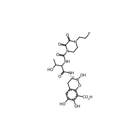 CC(O)C(NC(=O)N1CCN(CCF)C(=O)C1=O)C(=O)N[C@H]1Cc2cc(O)c(O)c(C(=O)O)c2OB1O